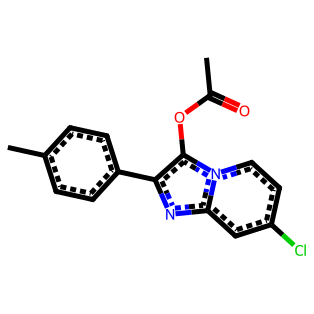 CC(=O)Oc1c(-c2ccc(C)cc2)nc2cc(Cl)ccn12